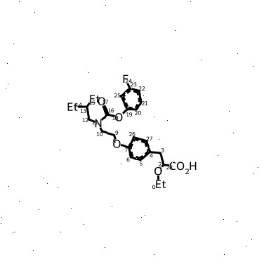 CCOC(Cc1ccc(OCCN(CC(CC)CC)C(=O)Oc2cccc(F)c2)cc1)C(=O)O